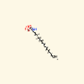 CCCCCCCCCCCCCCCCCCNC(O)O